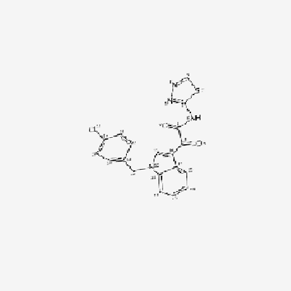 O=C(Nc1nncs1)C(=O)c1cn(Cc2ccc(Cl)cc2)c2ccccc12